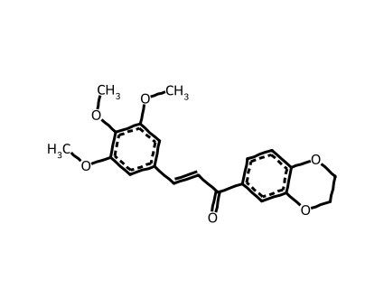 COc1cc(/C=C/C(=O)c2ccc3c(c2)OCCO3)cc(OC)c1OC